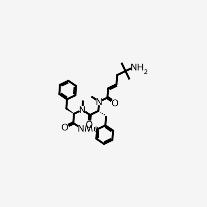 CNC(=O)[C@@H](Cc1ccccc1)N(C)C(=O)[C@@H](Cc1ccccc1)N(C)C(=O)/C=C/CC(C)(C)N